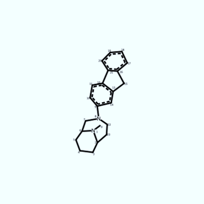 CN1C2CCCC1CN(c1ccc3c(c1)Cc1ccccc1-3)CC2